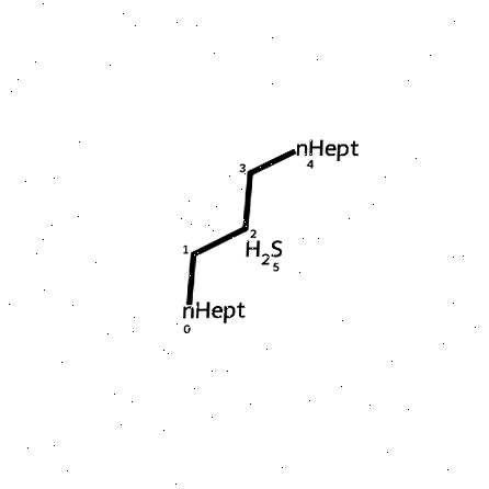 CCCCCCCCCCCCCCCCC.S